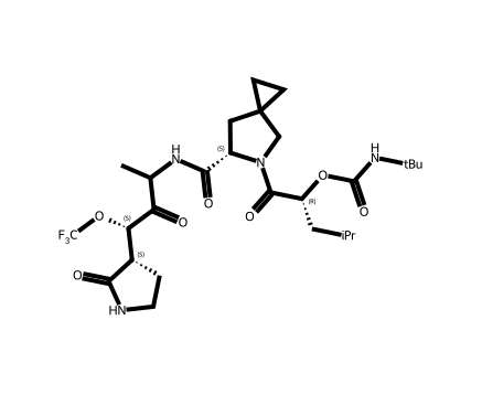 CC(C)C[C@@H](OC(=O)NC(C)(C)C)C(=O)N1CC2(CC2)C[C@H]1C(=O)NC(C)C(=O)[C@@H](OC(F)(F)F)[C@@H]1CCNC1=O